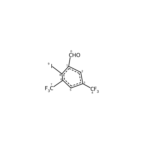 O=Cc1cc(C(F)(F)F)cc(C(F)(F)F)c1I